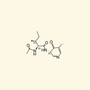 [CH2]C1=CN=C[C@H](NC(=O)[C@@H](NC(C)=O)[C@@H](C)CC)C1=O